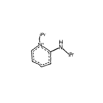 CC(C)Nc1cccc[n+]1C(C)C